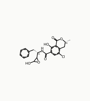 C[C@@H]1Cc2c(Cl)cc(C(=O)N[C@@H](Cc3ccccc3)C3OC3O)c(O)c2C(=O)O1